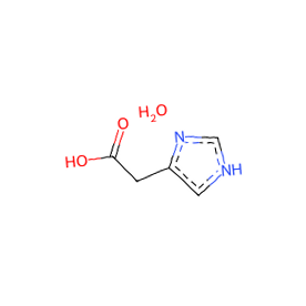 O.O=C(O)Cc1c[nH]cn1